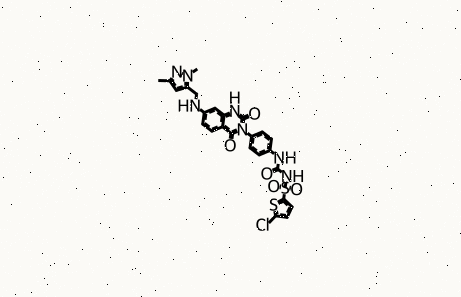 Cc1cc(CNc2ccc3c(=O)n(-c4ccc(NC(=O)NS(=O)(=O)c5ccc(Cl)s5)cc4)c(=O)[nH]c3c2)n(C)n1